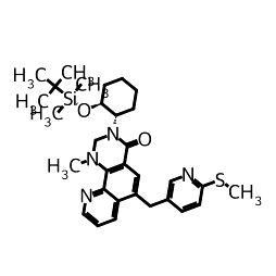 CSc1ccc(Cc2cc3c(c4ncccc24)N(C)CN([C@H]2CCCC[C@@H]2O[Si](C)(C)C(C)(C)C)C3=O)cn1